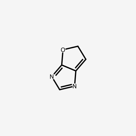 C1=NC2=CCOC2=N1